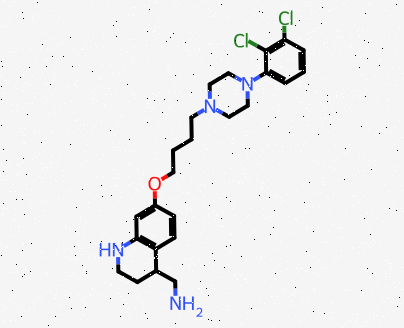 NCC1CCNc2cc(OCCCCN3CCN(c4cccc(Cl)c4Cl)CC3)ccc21